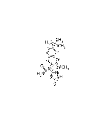 COC(=O)[C@H](Cc1ccc(C(C)(C)C)cc1)N(C(N)=O)c1n[nH]c(=S)s1